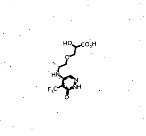 C[C@H](COCC(O)C(=O)O)Nc1cn[nH]c(=O)c1C(F)(F)F